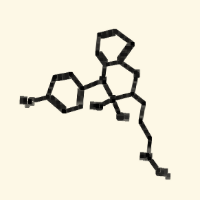 CNCCCC1Sc2ccccc2N(c2ccc(C)cc2)S1(O)O